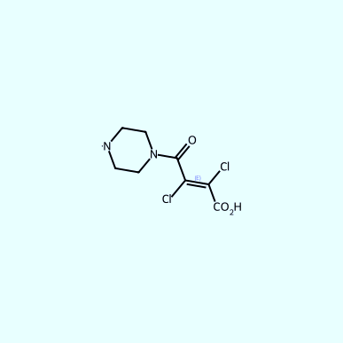 O=C(O)/C(Cl)=C(\Cl)C(=O)N1CC[N]CC1